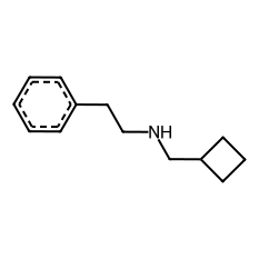 c1ccc(CCNCC2CCC2)cc1